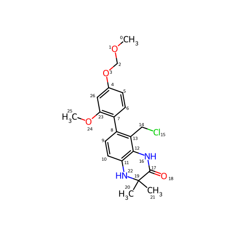 COCOc1ccc(-c2ccc3c(c2CCl)NC(=O)C(C)(C)N3)c(OC)c1